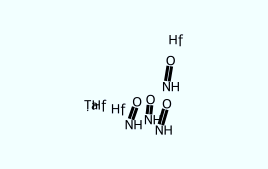 N=O.N=O.N=O.N=O.[Hf].[Hf].[Hf].[Ta]